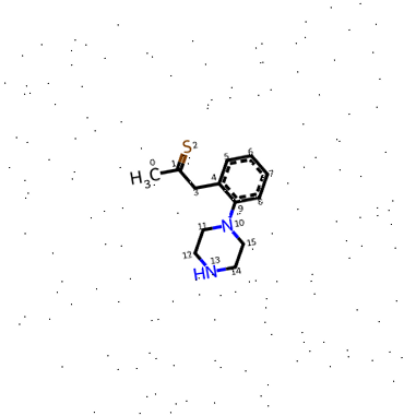 CC(=S)Cc1ccccc1N1CCNCC1